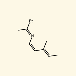 C/C=C(C)/C=C\N=C(/C)CC